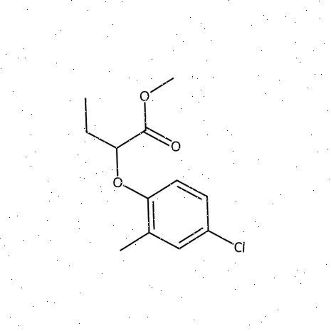 CCC(Oc1ccc(Cl)cc1C)C(=O)OC